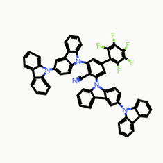 N#Cc1c(-n2c3ccccc3c3cc(-n4c5ccccc5c5ccccc54)ccc32)cc(-c2c(F)c(F)c(F)c(F)c2F)cc1-n1c2ccccc2c2cc(-n3c4ccccc4c4ccccc43)ccc21